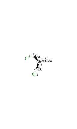 CCC[CH2][Sb+2]([CH2]CCC)[CH2]CCC.[Cl-].[Cl-]